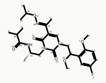 COc1ccc(F)cc1C(Cn1cc(/C(C)=N/OC(C)C)c(=O)n(C[C@H](C)NC(=O)C(C)C)c1=O)OC